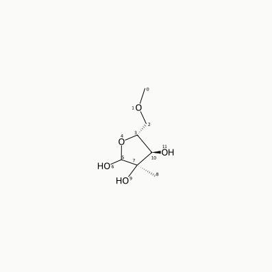 COC[C@H]1OC(O)[C@](C)(O)[C@@H]1O